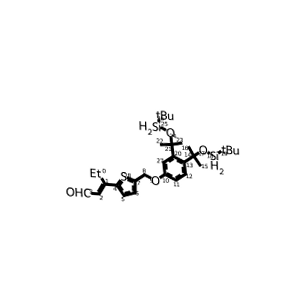 CCC(=CC=O)c1ccc(COc2ccc(C(C)(C)O[SiH2]C(C)(C)C)c(C(C)(C)O[SiH2]C(C)(C)C)c2)s1